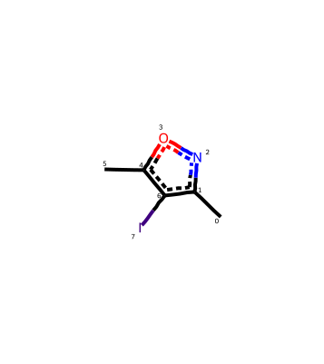 Cc1noc(C)c1I